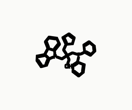 OCC(CC1=CC=CC1)(CP(c1ccccc1)c1ccccc1)Cp1c2ccccc2c2ccccc21